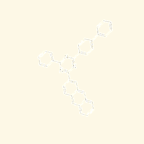 c1ccc(-c2ccc(-c3nc(-c4ccccc4)nc(-c4ccc5cc6ccccc6cc5c4)n3)cc2)cc1